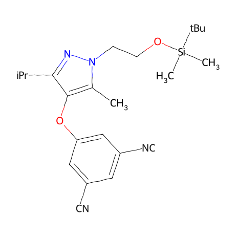 [C-]#[N+]c1cc(C#N)cc(Oc2c(C(C)C)nn(CCO[Si](C)(C)C(C)(C)C)c2C)c1